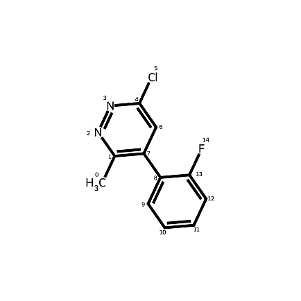 Cc1nnc(Cl)cc1-c1ccccc1F